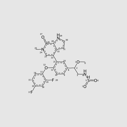 COC(CN[SH](=O)=O)c1ccc(Oc2ccc(F)cc2F)c(-c2cn(C)c(=O)c3[nH]ccc23)c1